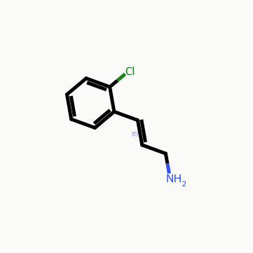 NC/C=C/c1ccccc1Cl